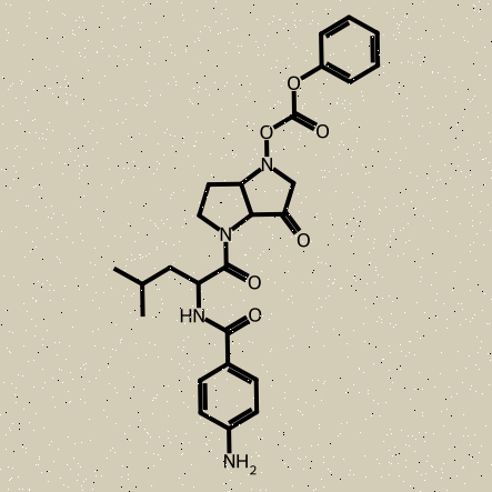 CC(C)CC(NC(=O)c1ccc(N)cc1)C(=O)N1CCC2C1C(=O)CN2OC(=O)Oc1ccccc1